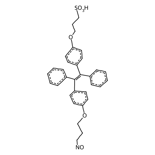 O=NCCCOc1ccc(/C(=C(\c2ccccc2)c2ccc(OCCCS(=O)(=O)O)cc2)c2ccccc2)cc1